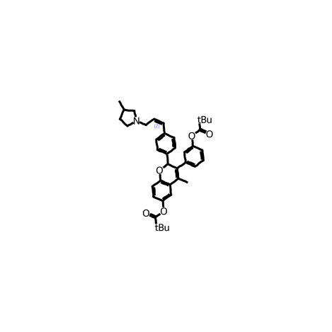 CC1=C(c2cccc(OC(=O)C(C)(C)C)c2)C(c2ccc(/C=C\CN3CCC(C)C3)cc2)Oc2ccc(OC(=O)C(C)(C)C)cc21